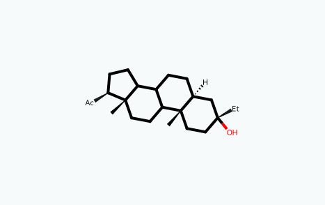 CC[C@@]1(O)CC[C@]2(C)C3CC[C@@]4(C)C(CC[C@@H]4C(C)=O)C3CC[C@H]2C1